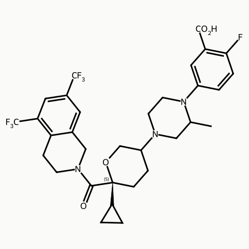 CC1CN(C2CC[C@@](C(=O)N3CCc4c(cc(C(F)(F)F)cc4C(F)(F)F)C3)(C3CC3)OC2)CCN1c1ccc(F)c(C(=O)O)c1